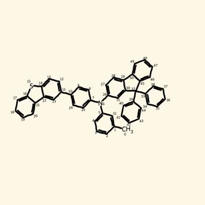 Cc1cccc(N(c2ccc(-c3ccc4sc5ccccc5c4c3)cc2)c2ccc3c(c2)C(c2ccccc2)(c2ccccc2)c2ccccc2-3)c1